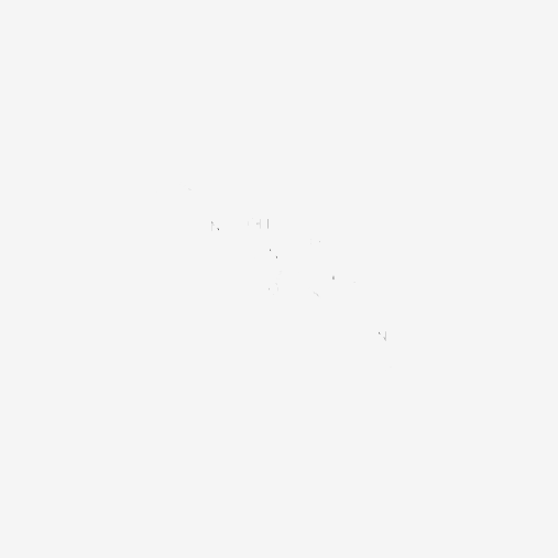 O=C1c2ccc(OCCN3CCOCC3)cc2OCCN1CC(O)CN1CCc2ccccc2C1